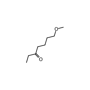 CCC(=O)CCCCOC